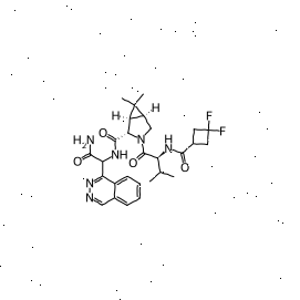 CC(C)[C@H](NC(=O)C1CC(F)(F)C1)C(=O)N1C[C@H]2[C@@H]([C@H]1C(=O)NC(C(N)=O)c1nncc3ccccc13)C2(C)C